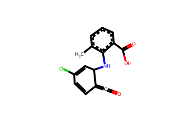 Cc1cccc(C(=O)O)c1NC1C=C(Cl)C=CC1=C=O